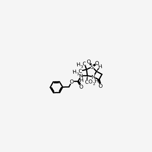 CC1(C)[C@](NC(=O)OCc2ccccc2)(C(=O)O)N2C(=O)C[C@H]2S1(=O)=O